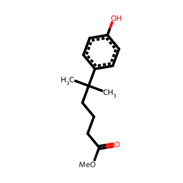 COC(=O)CCCC(C)(C)c1ccc(O)cc1